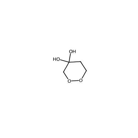 OC1(O)CCOOC1